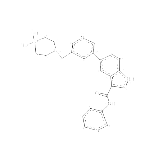 O=C(Nc1cccnc1)c1n[nH]c2ccc(-c3cncc(CN4CCS(O)(O)CC4)c3)cc12